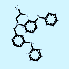 OC(CN(Cc1cccc(Oc2ncccn2)c1)c1cccc(Oc2ccccc2)c1)C(F)(F)F